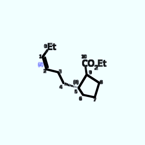 CC/C=C\CC[C@H]1CCCC1C(=O)OCC